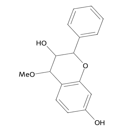 COC1c2ccc(O)cc2OC(c2ccccc2)C1O